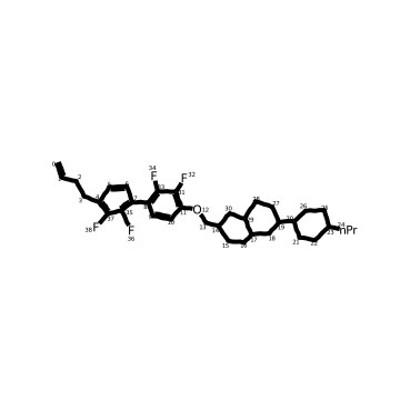 C=CCCc1ccc(-c2ccc(OCC3CCC4CC(C5CCC(CCC)CC5)CCC4C3)c(F)c2F)c(F)c1F